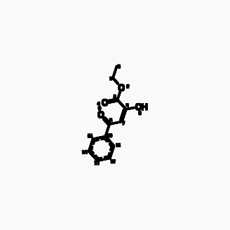 CCOC(=O)/C(O)=C\C(=O)c1ccccc1